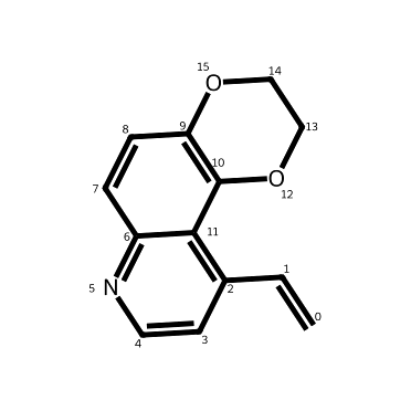 C=Cc1ccnc2ccc3c(c12)OCCO3